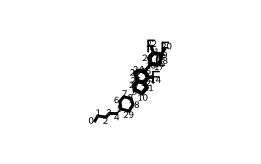 CCCCC[C@H]1CC[C@H](c2ccc3c(F)c(-c4ccc(F)c(F)c4)ccc3c2)CC1